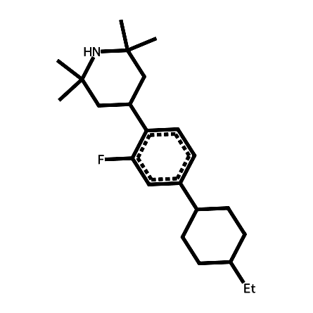 CCC1CCC(c2ccc(C3CC(C)(C)NC(C)(C)C3)c(F)c2)CC1